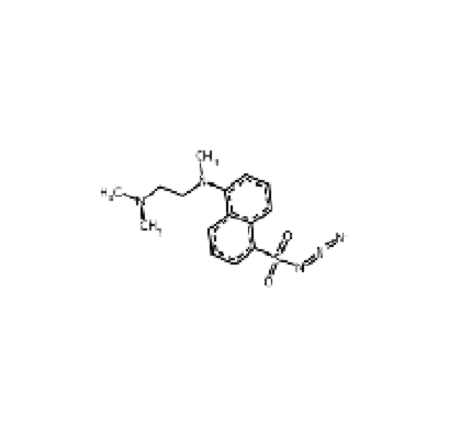 CN(C)CCN(C)c1cccc2c(S(=O)(=O)N=[N+]=[N-])cccc12